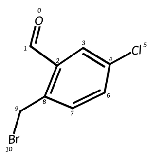 O=Cc1cc(Cl)ccc1CBr